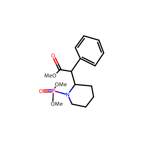 COC(=O)C(c1ccccc1)C1CCCCN1P(=O)(OC)OC